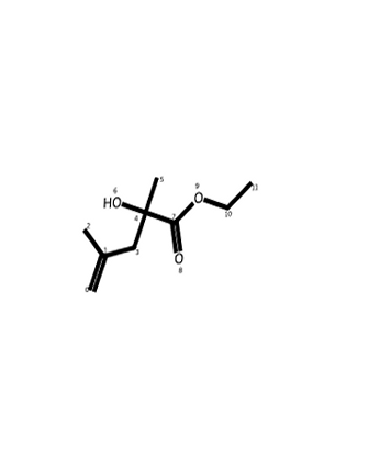 C=C(C)CC(C)(O)C(=O)OCC